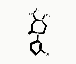 CCNC1CC(=O)N(c2cccc(O)c2)CCN1C